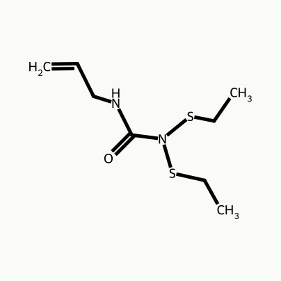 C=CCNC(=O)N(SCC)SCC